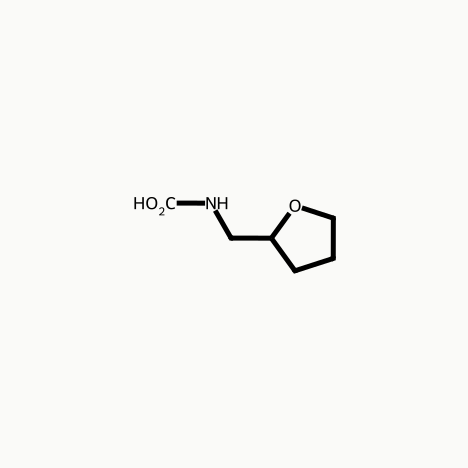 O=C(O)NCC1CCCO1